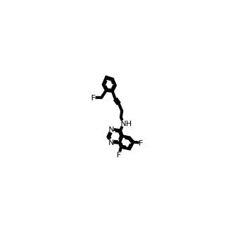 FCc1ccccc1C#CCCNc1ncnc2c(F)cc(F)cc12